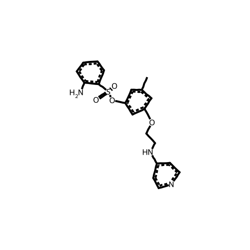 Cc1cc(OCCNc2ccncc2)cc(OS(=O)(=O)c2ccccc2N)c1